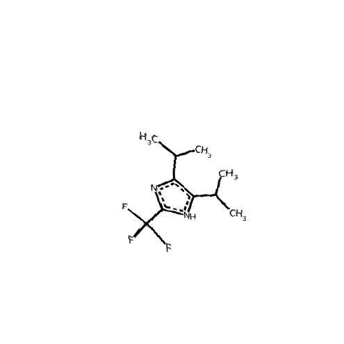 CC(C)c1nc(C(F)(F)F)[nH]c1C(C)C